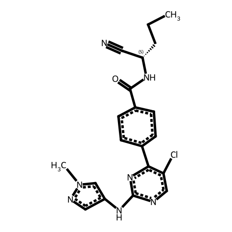 CCC[C@@H](C#N)NC(=O)c1ccc(-c2nc(Nc3cnn(C)c3)ncc2Cl)cc1